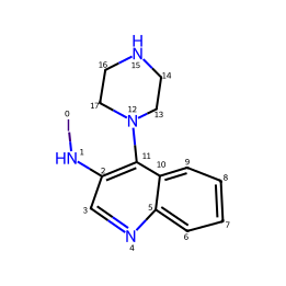 INc1cnc2ccccc2c1N1CCNCC1